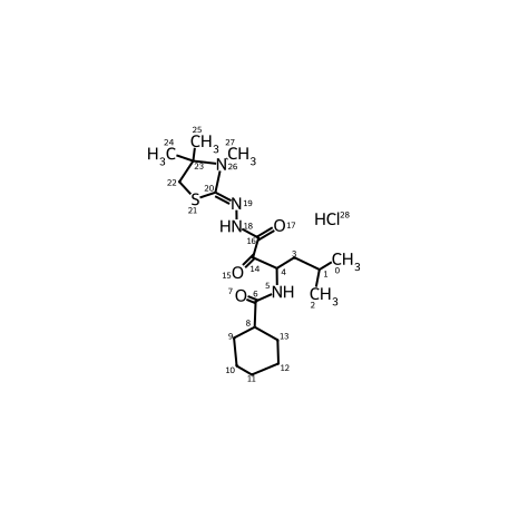 CC(C)CC(NC(=O)C1CCCCC1)C(=O)C(=O)N/N=C1\SCC(C)(C)N1C.Cl